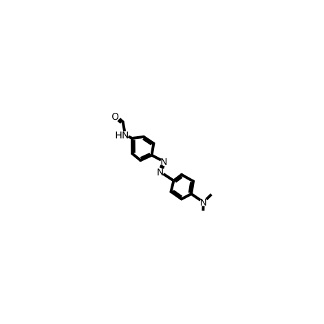 CN(C)c1ccc(N=Nc2ccc(NC=O)cc2)cc1